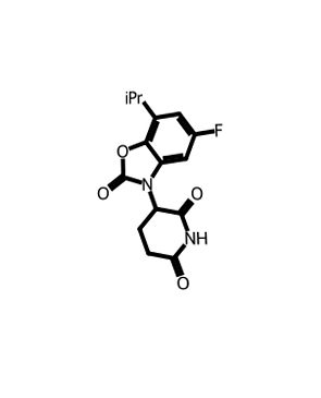 CC(C)c1cc(F)cc2c1oc(=O)n2C1CCC(=O)NC1=O